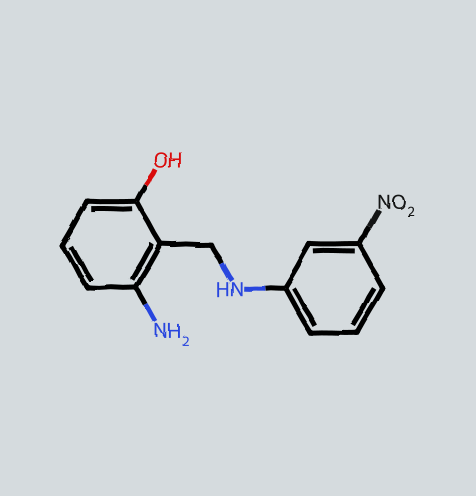 Nc1cccc(O)c1CNc1cccc([N+](=O)[O-])c1